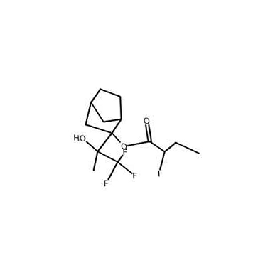 CCC(I)C(=O)OC1(C(C)(O)C(F)(F)F)CC2CCC1C2